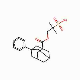 CC(C)(COC(=O)C12CC3CC(C1)CC(c1ccccc1)(C3)C2)S(=O)(=O)O